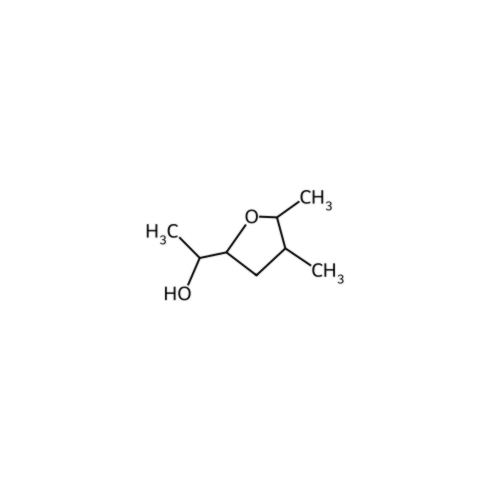 CC(O)C1CC(C)C(C)O1